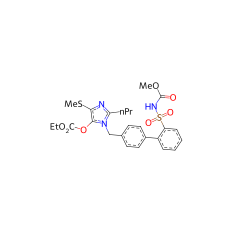 CCCc1nc(SC)c(OC(=O)OCC)n1Cc1ccc(-c2ccccc2S(=O)(=O)NC(=O)OC)cc1